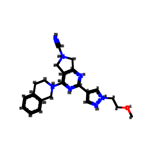 COCCn1cc(-c2nc3c(c(N4CCc5ccccc5C4)n2)CN(C#N)C3)cn1